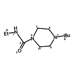 CCNC(=O)N1CCN(C(C)CC)CC1